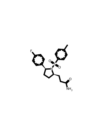 Cc1ccc(S(=O)(=O)N2[C@@H](CCC(N)=O)CC[C@H]2c2ccc(F)cc2)cc1